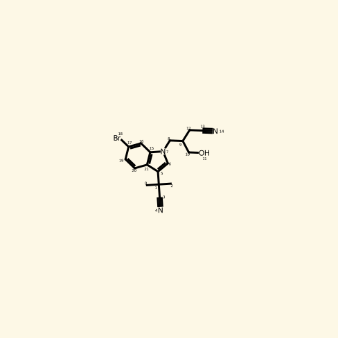 CC(C)(C#N)c1cn(CC(CO)CC#N)c2cc(Br)ccc12